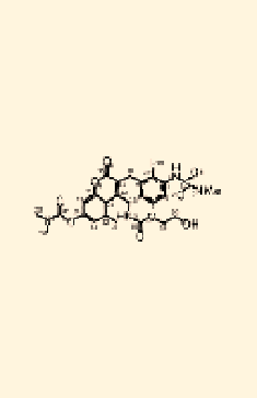 CNS(=O)(=O)Nc1cccc(CC2=C(CNC(=O)OCCO)C3C(=CC(OC(=O)N(C)C)=CC3C)OC2=O)c1F